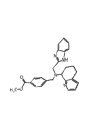 COC(=O)c1ccc(CN(Cc2nc3ccccc3[nH]2)C2CCCc3cccnc32)cc1